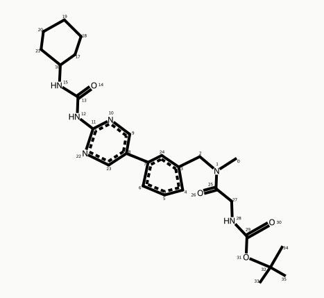 CN(Cc1cccc(-c2cnc(NC(=O)NC3CCCCC3)nc2)c1)C(=O)CNC(=O)OC(C)(C)C